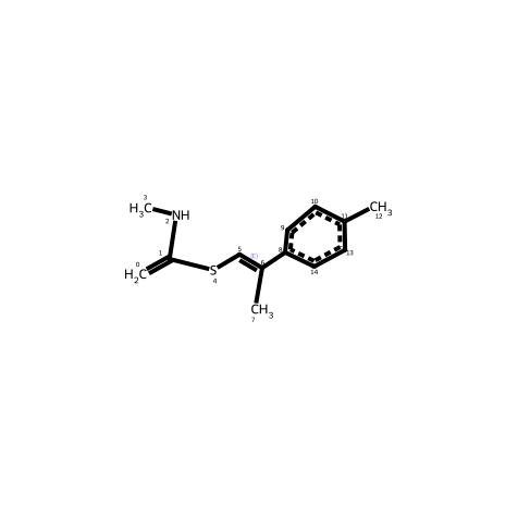 C=C(NC)S/C=C(\C)c1ccc(C)cc1